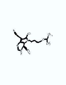 CC(C)OCCCn1c(Cl)c(C#N)c2nc[nH]c(=O)c21